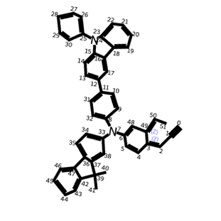 C#C/C=c1/ccc(N(c2ccc(-c3ccc4c(c3)c3ccccc3n4-c3ccccc3)cc2)c2ccc3c(c2)C(C)(C)c2ccccc2-3)c/c1=C/C